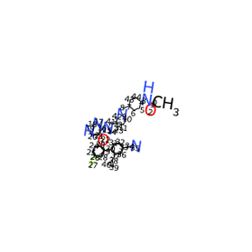 CC(=O)NC1CCC(CN2CCC3(CCN(c4ncncc4Oc4ccc(F)cc4-c4ccc(C#N)cc4C4CC4)C3)C2)CC1